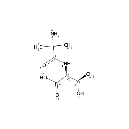 C[C@@H](O)[C@H](NC(=O)C(C)(C)N)C(=O)O